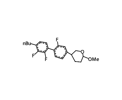 CCCCc1ccc(-c2ccc(C3CCC(OC)OC3)cc2F)c(F)c1F